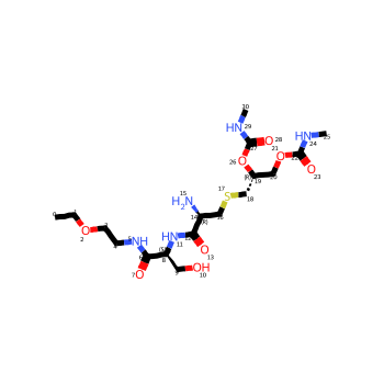 CCOCCNC(=O)[C@H](CO)NC(=O)[C@@H](N)CSC[C@@H](COC(=O)NC)OC(=O)NC